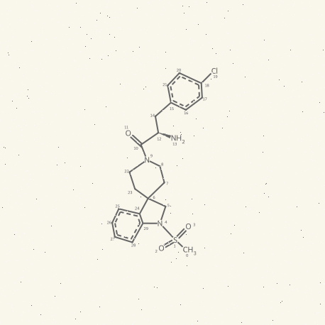 CS(=O)(=O)N1CC2(CCN(C(=O)[C@H](N)Cc3ccc(Cl)cc3)CC2)c2ccccc21